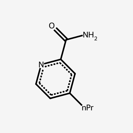 CCCc1ccnc(C(N)=O)c1